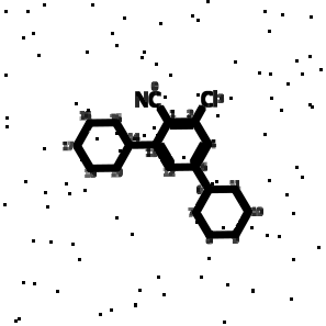 N#Cc1c(Cl)cc(C2CCCCC2)cc1C1CCCCC1